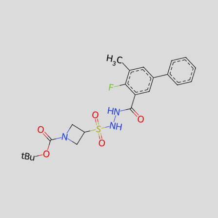 Cc1cc(-c2ccccc2)cc(C(=O)NNS(=O)(=O)C2CN(C(=O)OC(C)(C)C)C2)c1F